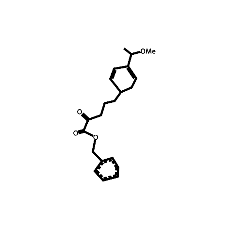 COC(C)C1=CCC(CCCC(=O)C(=O)OCc2ccccc2)C=C1